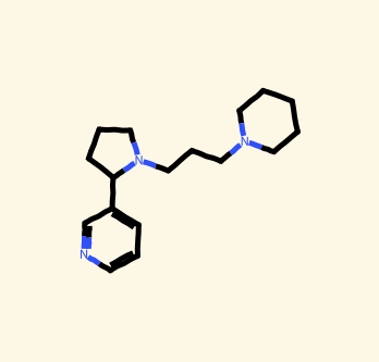 c1cncc(C2CCCN2CCCN2CCCCC2)c1